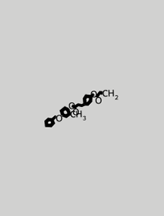 C=CC(=O)Oc1ccc(CCC(=O)Oc2ccc(OCc3ccccc3)cc2C)cc1